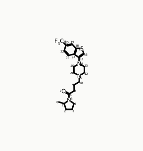 CC1CCCN1C(=O)CCCN1CCN(c2csc3cc(C(F)(F)F)ccc23)CC1